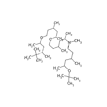 CC(CCOC(C)CC(C)C(C)(C)C)CC(C)OCCC(C)CC(C)N(C)CCC(C)CC(C)OC(C)(C)C